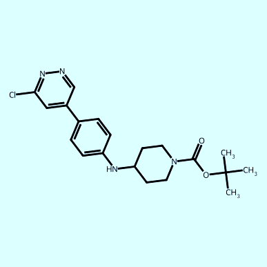 CC(C)(C)OC(=O)N1CCC(Nc2ccc(-c3cnnc(Cl)c3)cc2)CC1